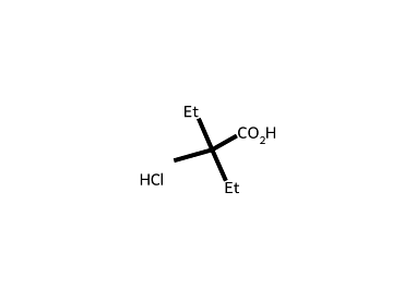 CCC(C)(CC)C(=O)O.Cl